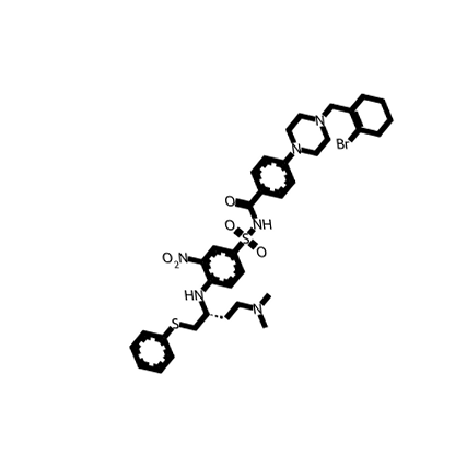 CN(C)CC[C@H](CSc1ccccc1)Nc1ccc(S(=O)(=O)NC(=O)c2ccc(N3CCN(CC4=C(Br)CCCC4)CC3)cc2)cc1[N+](=O)[O-]